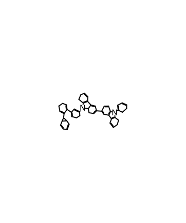 C1=CCCC(n2c3c(c4cc(C5=CCC6C(=C5)C5=C(CCC=C5)N6C5=CC(C6=CCCC=C6C6C7C=CC=CC76)=CCC5)ccc42)C=CCC3)=C1